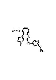 COc1cccc2nc(Nc3cnn(CC(C)C)c3)c3[nH]ncc3c12